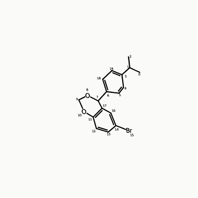 CC(C)c1ccc(C2OCOc3ccc(Br)cc32)cc1